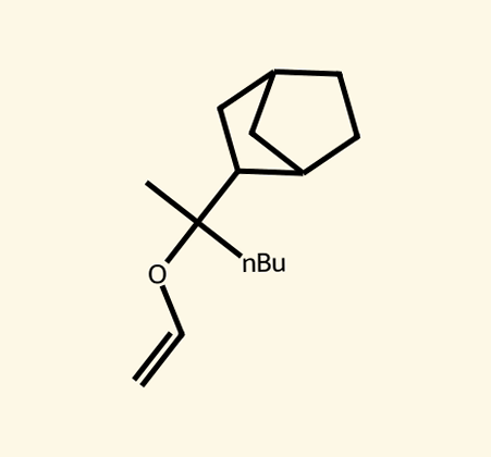 C=COC(C)(CCCC)C1CC2CCC1C2